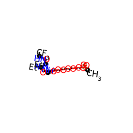 CCN(CC)c1ccc(NC(=O)c2cccc(COCCOCCOCCOCCOCCOCCOS(=O)(=O)c3ccc(C)cc3)c2)c(-c2cc(C(=O)NCc3cccc(C(F)(F)F)c3)ccn2)c1